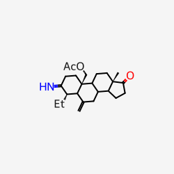 C=C1CC2C(CC[C@]3(C)C(=O)CCC23)[C@@]2(COC(C)=O)CCC(=N)[C@H](CC)C12